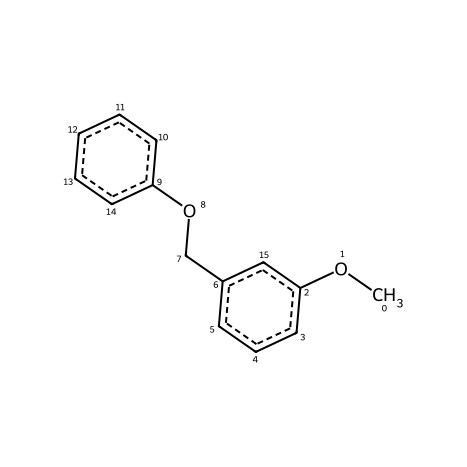 COc1cccc(COc2ccccc2)c1